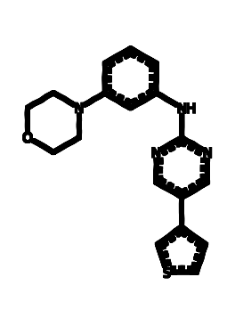 c1cc(Nc2ncc(-c3ccsc3)cn2)cc(N2CCOCC2)c1